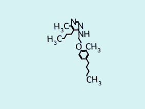 CCCCCc1ccc(OCCNc2ncnc(C)c2CCCC)c(C)c1